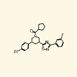 CCc1ccc(C2CC(c3nc(-c4cccc(F)c4)no3)CN(C(=O)C3CCCC3)C2)cc1